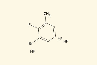 Cc1cccc(Br)c1F.F.F.F